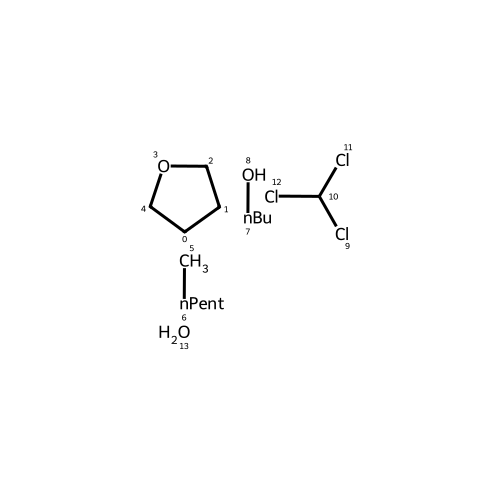 C1CCOC1.CCCCCC.CCCCO.ClC(Cl)Cl.O